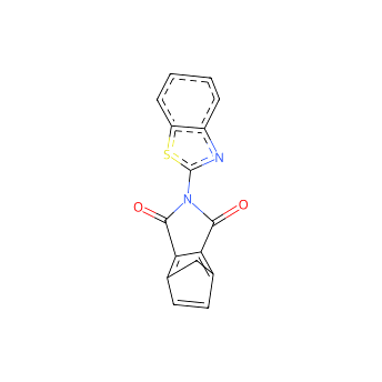 O=C1C2=C3C=CC(=C2C(=O)N1c1nc2ccccc2s1)C3